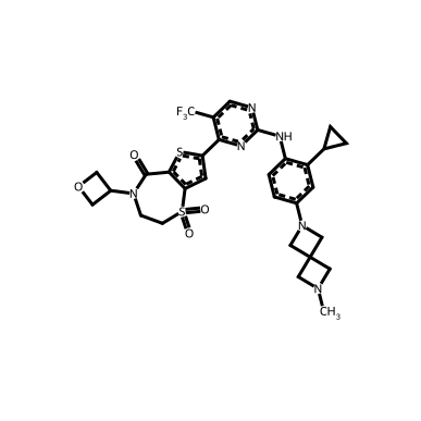 CN1CC2(C1)CN(c1ccc(Nc3ncc(C(F)(F)F)c(-c4cc5c(s4)C(=O)N(C4COC4)CCS5(=O)=O)n3)c(C3CC3)c1)C2